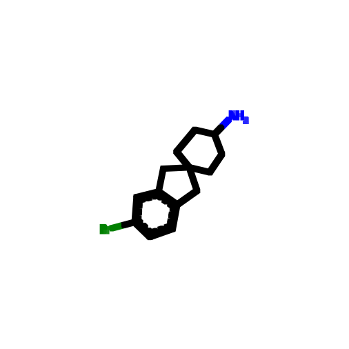 NC1CCC2(CC1)Cc1ccc(Br)cc1C2